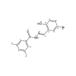 Cc1cc(C)cc(C(=O)N/N=C/c2cc(Br)ccc2O)c1